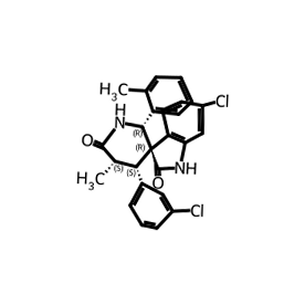 Cc1ccccc1[C@H]1NC(=O)[C@@H](C)[C@@H](c2cccc(Cl)c2)[C@]12C(=O)Nc1cc(Cl)ccc12